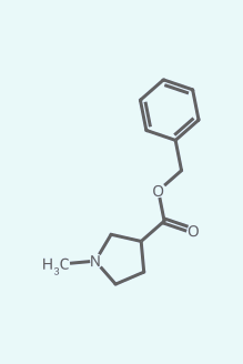 CN1CCC(C(=O)OCc2ccccc2)C1